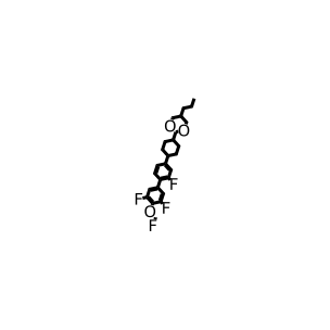 CCCC1COC(C2CCC(c3ccc(-c4cc(F)c(OCF)c(F)c4)c(F)c3)CC2)OC1